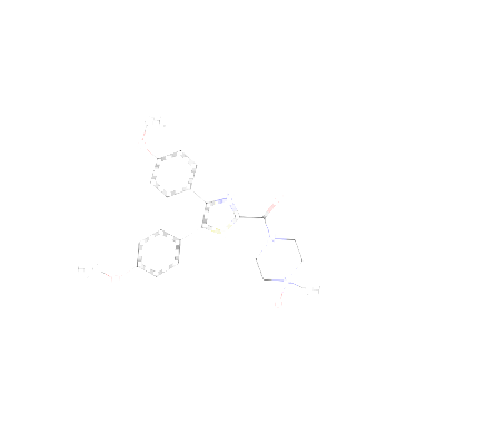 COc1ccc(-c2nc(C(=O)N3CC[N+](C)([O-])CC3)sc2-c2ccc(OC)cc2)cc1